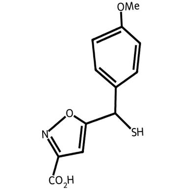 COc1ccc(C(S)c2cc(C(=O)O)no2)cc1